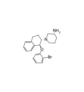 N[C@@H]1CCCN([C@H]2CCc3ccccc3[C@@H]2Oc2ccccc2Br)C1